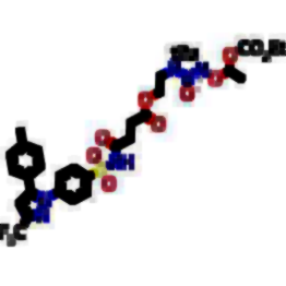 CCOC(=O)OC(C)O/N=[N+](\[O-])N(CCOC(=O)CCC(=O)NS(=O)(=O)c1ccc(-n2nc(C(F)(F)F)cc2-c2ccc(C)cc2)cc1)C(C)(C)C